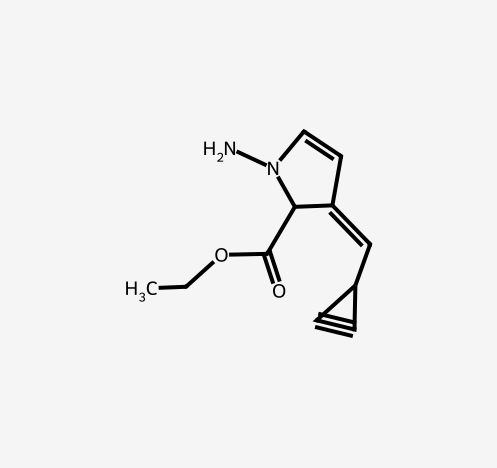 CCOC(=O)C1C(=CC2C#C2)C=CN1N